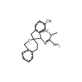 CN(C=O)/C(N)=N\C1c2cc(C#N)ccc2CC12CCc1ccccc1CC2